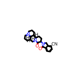 N#Cc1cccc2c1CN(C1CC[C@@H]3[C@H]4CCCN5CCC[C@@H](CN3C1=O)[C@@H]45)C2=O